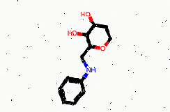 OC1CCOC(CNc2ccccc2)C1O